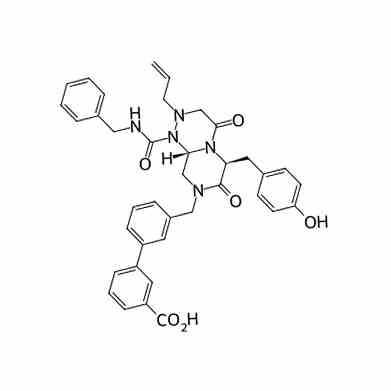 C=CCN1CC(=O)N2[C@@H](Cc3ccc(O)cc3)C(=O)N(Cc3cccc(-c4cccc(C(=O)O)c4)c3)C[C@@H]2N1C(=O)NCc1ccccc1